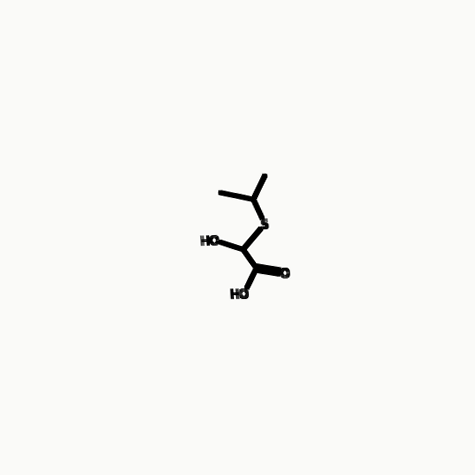 CC(C)SC(O)C(=O)O